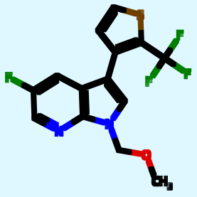 COCn1cc(-c2ccsc2C(F)(F)F)c2cc(F)cnc21